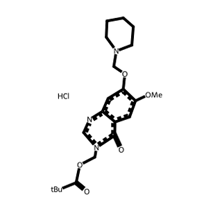 COc1cc2c(=O)n(COC(=O)C(C)(C)C)cnc2cc1OCN1CCCCC1.Cl